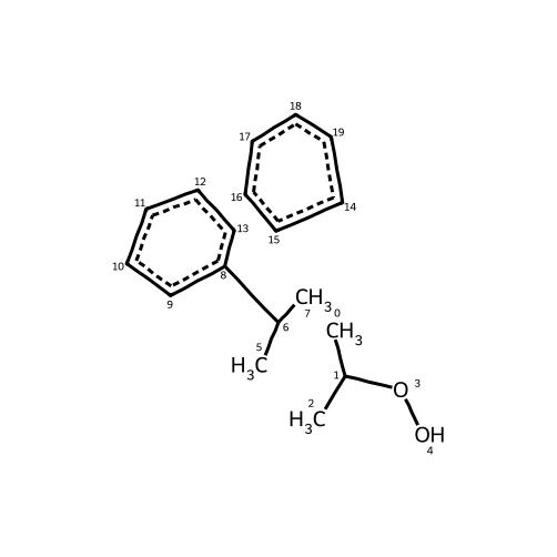 CC(C)OO.CC(C)c1ccccc1.c1ccccc1